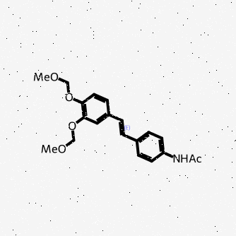 COCOc1ccc(/C=C/c2ccc(NC(C)=O)cc2)cc1OCOC